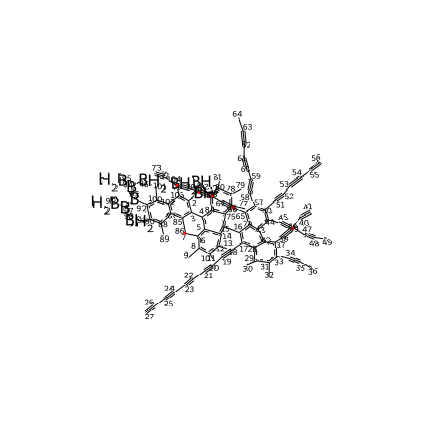 BBc1c(-c2c3c(C)c(C)c(C)c(C)c3c(-c3c(C#CC#CC#CC#CC#C)c4c(C)c(C)c(C#CC)c(C#CC#C)c4c4c(C#CC#CC)c(C#CC#CC#C)c(C#CC#CC#CC)c(C#CC#CC#CC#C)c34)c3c(C)c(C)c(C)c(C)c23)c(C)c2c(C)c(C)c(B(B(B)B)B(B)B)c(C)c2c1B